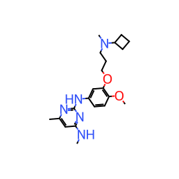 CNc1cc(C)nc(Nc2ccc(OC)c(OCCCN(C)C3CCC3)c2)n1